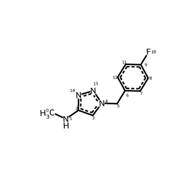 CNc1cn(Cc2ccc(F)cc2)nn1